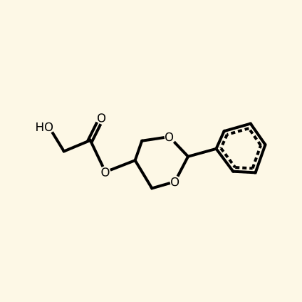 O=C(CO)OC1COC(c2ccccc2)OC1